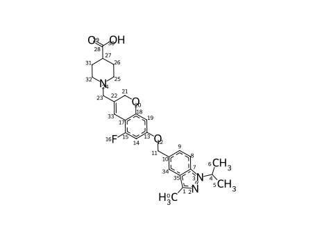 Cc1nn(C(C)C)c2ccc(COc3cc(F)c4c(c3)OCC(CN3CCC(C(=O)O)CC3)=C4)cc12